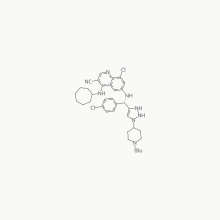 CC(C)(C)N1CCC(N2C=C([C@@H](Nc3cc(Cl)c4ncc(C#N)c(NC5CCCCCC5)c4c3)c3ccc(Cl)cc3)NN2)CC1